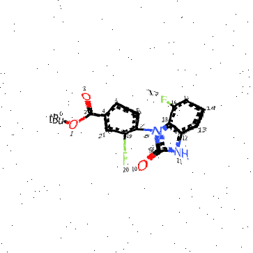 CC(C)(C)OC(=O)c1ccc(-n2c(=O)[nH]c3cccc(F)c32)c(F)c1